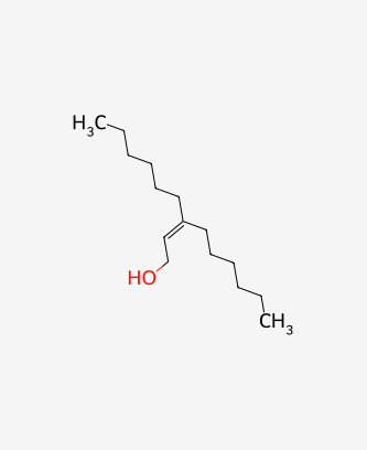 CCCCCCC(=CCO)CCCCCC